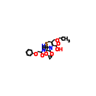 CCOCC1=C(C(=O)O)N2C(=O)C(NC(=O)COc3ccccc3)(OC3CC3)[C@@H]2SC1